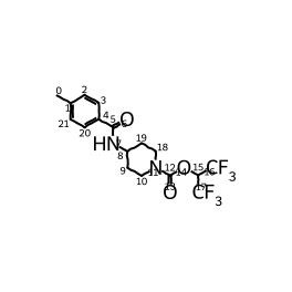 Cc1ccc(C(=O)NC2CCN(C(=O)OC(C(F)(F)F)C(F)(F)F)CC2)cc1